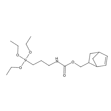 CCO[Si](CCCNC(=O)OCC1CC2C=CC1C2)(OCC)OCC